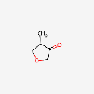 CC1COCC1=O